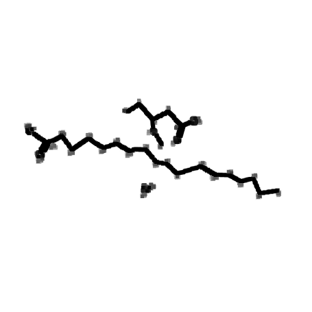 CCC(CC(=O)[O-])OC.CCCCCCCCCCCCCCCCCC(=O)[O-].[Ba+2]